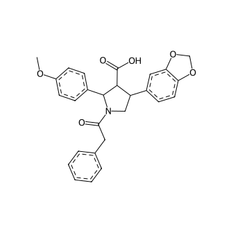 COc1ccc(C2C(C(=O)O)C(c3ccc4c(c3)OCO4)CN2C(=O)Cc2ccccc2)cc1